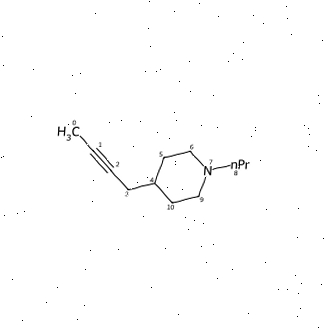 CC#CCC1CCN(CCC)CC1